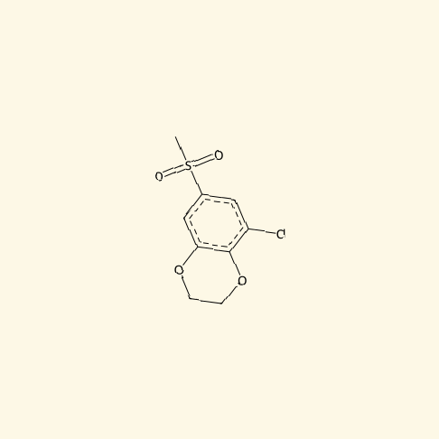 CS(=O)(=O)c1cc(Cl)c2c(c1)OCCO2